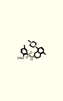 COc1ccc(C)cc1S(=O)(=O)N[C@@H]1CCc2c(C)ccc(N3CCN(C)CC3)c2C1